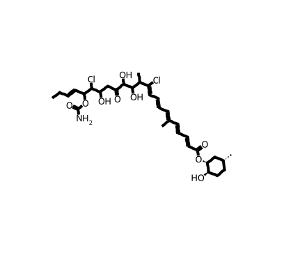 CC/C=C/C(OC(N)=O)C(Cl)C(O)CC(=O)C(O)C(O)C(C)/C(Cl)=C/C=C/C=C(C)/C=C/C=C/C(=O)O[C@@H]1C[C@H](C)CC[C@H]1O